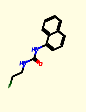 O=C(NCCF)Nc1cccc2ccccc12